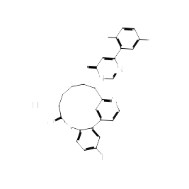 C[C@@H]1CCC[C@H](n2cnc(-c3cc(Cl)ccc3C(F)(F)F)cc2=O)c2cc(ccn2)-c2cc(F)ccc2NC1=O